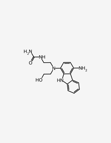 NC(=O)NCCN(CCO)c1ccc(N)c2c1[nH]c1ccccc12